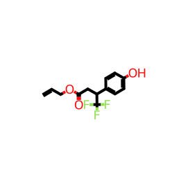 C=CCOC(=O)CC(c1ccc(O)cc1)C(F)(F)F